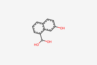 OB(O)c1cccc2ccc(O)cc12